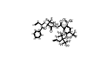 [2H]C([2H])([2H])C(CC=C)(Nc1nc(C(=O)NNC(=O)[C@@](CCC=C)(OCc2ccccc2)C(F)(F)F)c([N+](=O)[O-])cc1C(F)(F)F)C([2H])([2H])[2H]